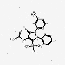 CC(=O)Nc1c(C(C)(C)C)n(-c2ccccc2)n(-c2cccc(C)c2)c1=O